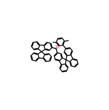 Cc1ccc(C)c(-c2ccc3c(c2)C2(c4ccccc4-c4ccc(C(=O)c5ccc6c(c5)C5(c7ccccc7-c7ccccc75)c5ccccc5-6)cc42)c2ccccc2-3)c1